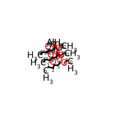 CCCC(=O)CC(=O)OCC.CCCC(=O)CC(=O)OCC.CCCC(=O)CC(=O)OCC.[AlH3]